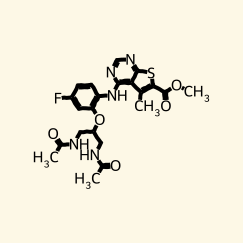 COC(=O)c1sc2ncnc(Nc3ccc(F)cc3OC(CNC(C)=O)CNC(C)=O)c2c1C